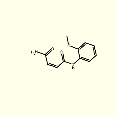 COc1ccccc1NC(=O)/C=C\C(N)=O